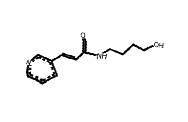 O=C(C=Cc1cccnc1)NCCCCO